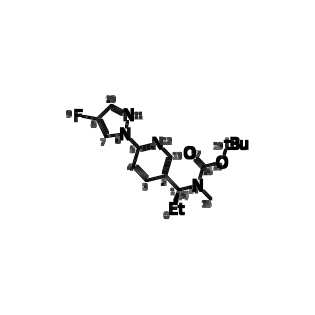 CC[C@@H](c1ccc(-n2cc(F)cn2)nc1)N(C)C(=O)OC(C)(C)C